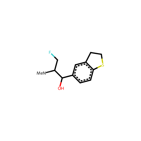 CNC(CF)C(O)c1ccc2c(c1)CCS2